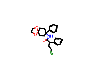 O=C(NC1(c2ccccc2)CCC2(CC1)OCCO2)C(CCBr)c1ccccc1